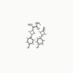 NC(=O)N(O)[C@H]1C[C@@H](c2ccc(F)cc2)C1.O=C1CC(c2ccc(F)cc2)C1